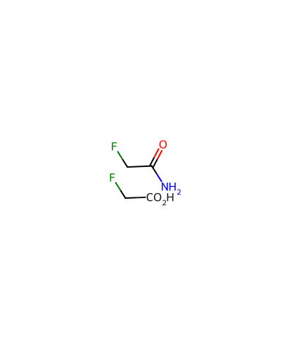 NC(=O)CF.O=C(O)CF